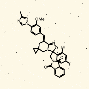 COc1cc(/C=C2\CC3(CC3)CN3C2=NOC3(CN2C(=O)c3ccccc3C2=O)c2ccc(F)cc2Br)ccc1-n1cnc(C)n1